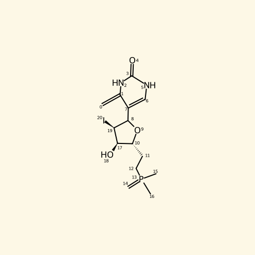 C=C1NC(=O)NC=C1C1O[C@H](CCP(=C)(C)C)[C@@H](O)[C@H]1I